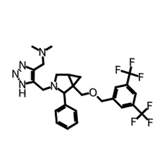 CN(C)Cc1nn[nH]c1CN1CC2CC2(COCc2cc(C(F)(F)F)cc(C(F)(F)F)c2)C1c1ccccc1